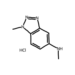 CNc1ccc2c(c1)nnn2C.Cl